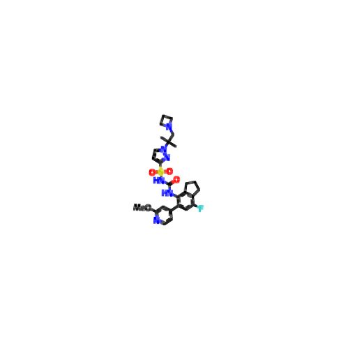 COc1cc(-c2cc(F)c3c(c2NC(=O)NS(=O)(=O)c2ccn(C(C)(C)CN4CCC4)n2)CCC3)ccn1